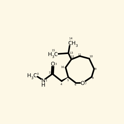 CNC(=O)C[C@@H]1COCCCCC(C(C)C)C1